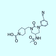 CS(=O)(=O)NC1CN(CC2CCN(C(=O)O)CC2)C(=O)N(c2cccc(C#N)c2)C1